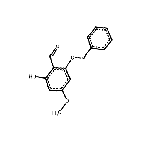 COc1cc(O)c(C=O)c(OCc2ccccc2)c1